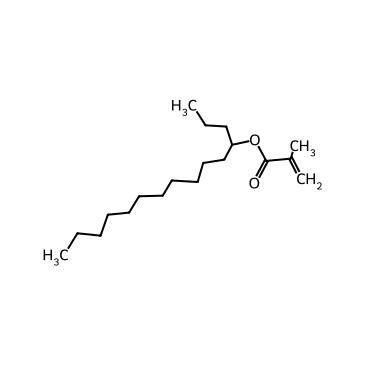 C=C(C)C(=O)OC(CCC)CCCCCCCCCCC